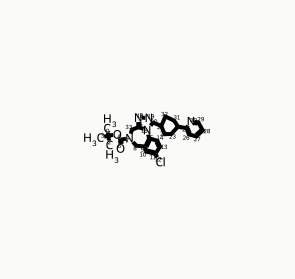 CC(C)(C)OC(=O)N1Cc2cc(Cl)ccc2-n2c(nnc2C2CCC(c3ccccn3)CC2)C1